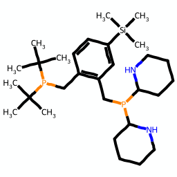 CC(C)(C)P(Cc1ccc([Si](C)(C)C)cc1CP(C1CCCCN1)C1CCCCN1)C(C)(C)C